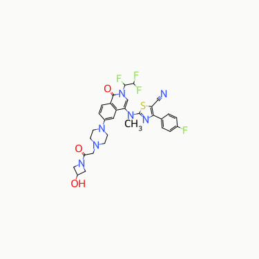 CN(c1nc(-c2ccc(F)cc2)c(C#N)s1)c1cn(C(F)C(F)F)c(=O)c2ccc(N3CCN(CC(=O)N4CC(O)C4)CC3)cc12